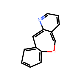 C1=c2cccnc2=Cc2ccccc2O1